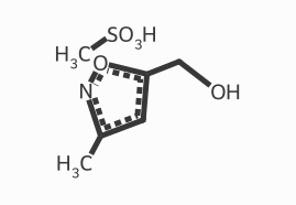 CS(=O)(=O)O.Cc1cc(CO)on1